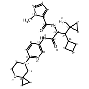 Cn1nccc1C(=O)N[C@H](C(=O)Nc1ccc(N2CCOC3(CC3)C2)nc1)C(C1CCC1)C1(C)CC1